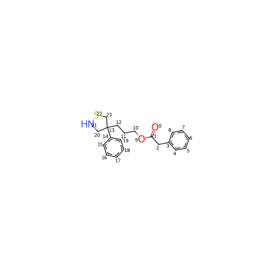 O=C(Cc1ccccc1)OCCCC1(c2ccccc2)CNSC1